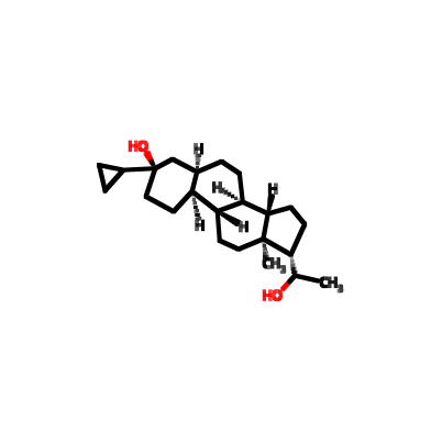 CC(O)[C@H]1CC[C@H]2[C@@H]3CC[C@@H]4C[C@@](O)(C5CC5)CC[C@@H]4[C@H]3CC[C@]12C